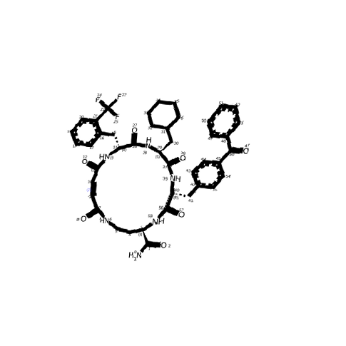 NC(=O)[C@H]1CCNC(=O)/C=C\C(=O)N[C@H](Cc2ccccc2C(F)(F)F)C(=O)N[C@@H](CC2CCCCC2)C(=O)N[C@H](Cc2ccc(C(=O)c3ccccc3)cc2)C(=O)N1